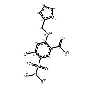 CC(C)C(=O)c1cc(S(=O)(=O)N(C(C)C)C(C)C)c(Cl)cc1NCc1ccco1